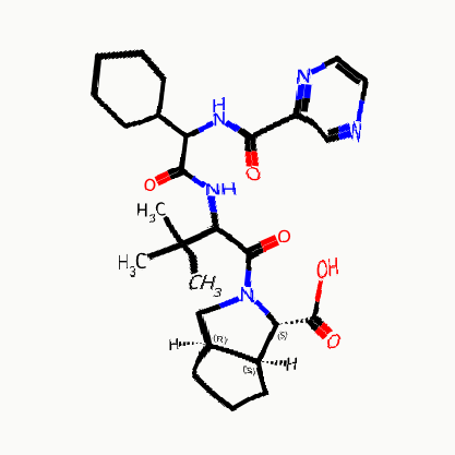 CC(C)(C)C(NC(=O)C(NC(=O)c1cnccn1)C1CCCCC1)C(=O)N1C[C@@H]2CCC[C@@H]2[C@H]1C(=O)O